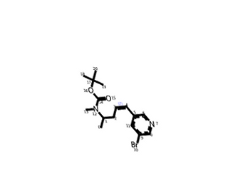 CC(C/C=C\c1cncc(Br)c1)N(C)C(=O)OC(C)(C)C